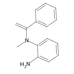 C=C(c1ccccc1)N(C)c1ccccc1N